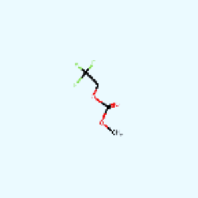 [CH2]OC(=O)OCC(F)(F)F